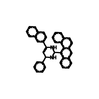 C1=C(c2ccc3ccccc3c2)NC(c2c3ccccc3cc3ccc4ccccc4c23)NC1c1ccccc1